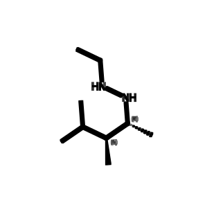 CCNN[C@H](C)[C@@H](C)C(C)C